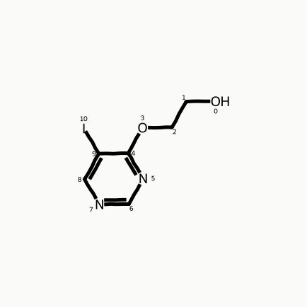 OCCOc1ncncc1I